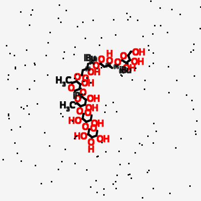 CC[C@H](C)[C@H](C[C@H](O)CC(=O)OC1C(C)OC(C(C)C)C(OC2OC(C)C(OC3OCC(O)C(OC4OCC(O)C(O)C4O)C3O)C(O)C2O)C1O)OC(=O)C[C@@H](O)C[C@H](OC1OC(CO)C(O)C1O)[C@@H](C)CC